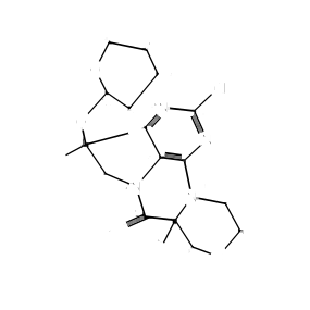 CC(C)(CN1C(=O)C2(C)COCCN2c2nc(Cl)ncc21)OC1CCCCO1